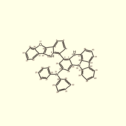 B1c2c(-c3cccc4c3[nH]c3c5ccccc5oc43)cc(N(c3ccccc3)c3ccccc3)cc2-n2c3ccccc3c3cccc1c32